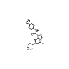 Cc1cc(C2CCOCC2)nc2c(C(=O)Nc3ccc(OC(C)C)cc3)ncn12